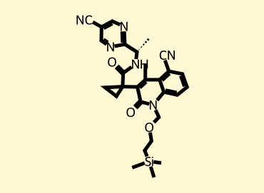 Cc1c(C2(C(=O)N[C@@H](C)c3ncc(C#N)cn3)CC2)c(=O)n(COCC[Si](C)(C)C)c2cccc(C#N)c12